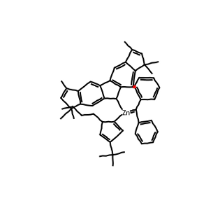 CCCCC1C=C(C(C)(C)C)C=[C]1[Zn](=[C](c1ccccc1)c1ccccc1)[CH]1c2cc3c(cc2-c2cc4c(cc21)C(C)(C)C=C4C)C(C)=CC3(C)C